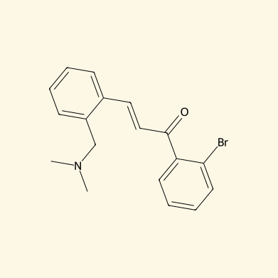 CN(C)Cc1ccccc1C=CC(=O)c1ccccc1Br